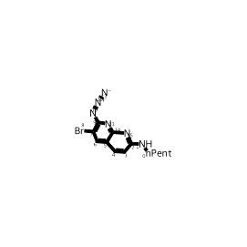 CCCCCNc1ccc2cc(Br)c(N=[N+]=[N-])nc2n1